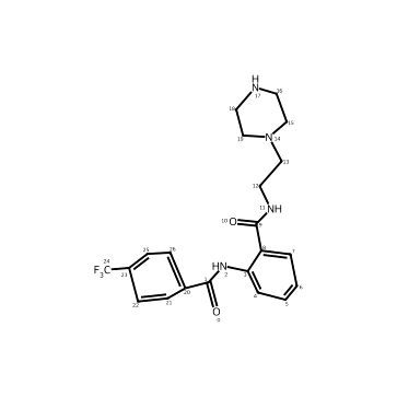 O=C(Nc1ccccc1C(=O)NCCN1CCNCC1)c1ccc(C(F)(F)F)cc1